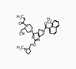 C=CC(=O)N1CCN(c2nc(OCC3CCCN3C)nc3c2CN(C(=O)c2cccc4cccc(C)c24)C3)CC1CC#N